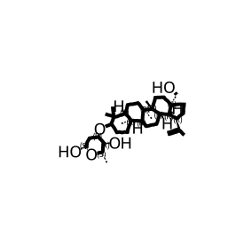 C=C(C)[C@@H]1CC[C@]2(CO)CC[C@]3(C)[C@H](CC[C@@H]4[C@@]5(C)CCC(O[C@@H]6C[C@@H](O)O[C@@H](C)[C@H]6O)C(C)(C)[C@@H]5CC[C@]43C)[C@@H]12